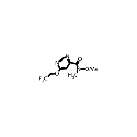 CON(C)C(=O)c1cc(OCC(F)(F)F)ncn1